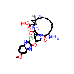 COc1ccc2nc(Cl)c(O[C@@H]3C[C@H]4C(=O)N[C@]5(C(=O)O)C[C@H]5/C=C\CCCCC[C@H](N)C(=O)N4C3)nc2c1